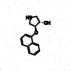 O[C@H]1CNC[C@@H]1Oc1cccc2ccccc12